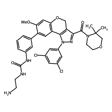 COc1cc2c(cc1-c1cccc(NC(=O)NCCN)c1)-c1c(c(C(=O)N3CCOCC3(C)C)nn1-c1cc(Cl)cc(Cl)c1)CO2